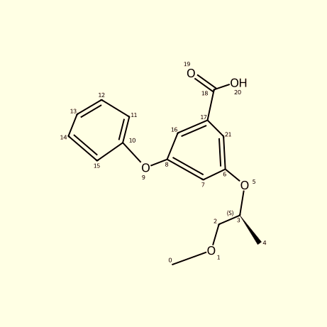 COC[C@H](C)Oc1cc(Oc2ccccc2)cc(C(=O)O)c1